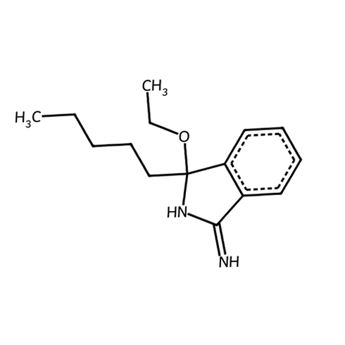 CCCCCC1(OCC)NC(=N)c2ccccc21